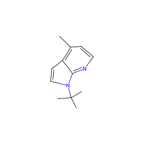 Cc1ccnc2c1ccn2C(C)(C)C